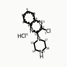 Cl.Clc1nc2ccccc2nc1N1CCNCC1